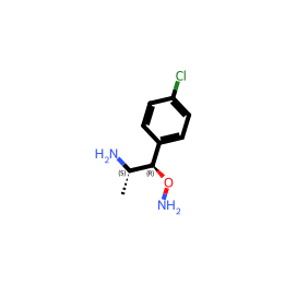 C[C@H](N)[C@H](ON)c1ccc(Cl)cc1